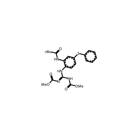 CCCCC(=O)Nc1cc(Sc2ccccc2)ccc1NC(=NC(=O)OC)NC(=O)OC